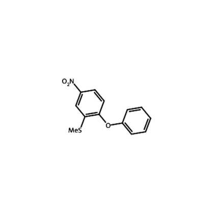 CSc1cc([N+](=O)[O-])ccc1Oc1ccccc1